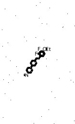 C=NC1CCC(C2CCC(CCc3ccc(OCC)c(F)c3F)CC2)CC1